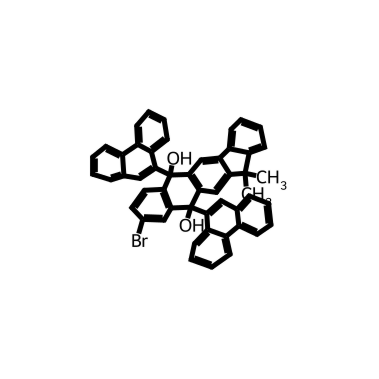 CC1(C)c2ccccc2-c2cc3c(cc21)C(O)(c1cc2ccccc2c2ccccc12)c1cc(Br)ccc1C3(O)c1cc2ccccc2c2ccccc12